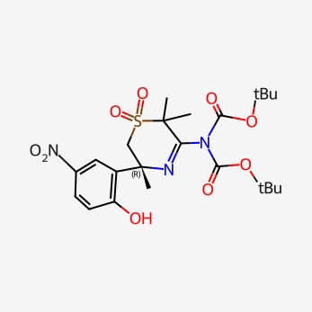 CC(C)(C)OC(=O)N(C(=O)OC(C)(C)C)C1=N[C@](C)(c2cc([N+](=O)[O-])ccc2O)CS(=O)(=O)C1(C)C